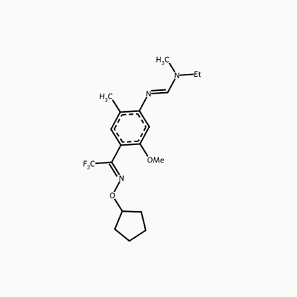 CCN(C)C=Nc1cc(OC)c(C(=NOC2CCCC2)C(F)(F)F)cc1C